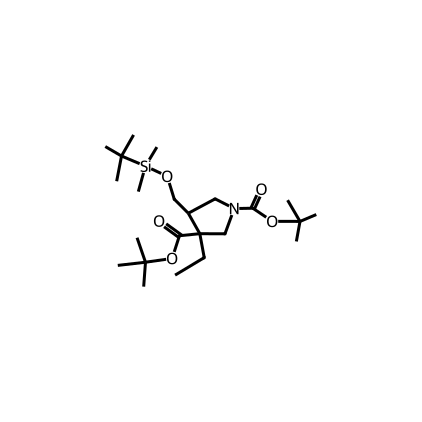 CCC1(C(=O)OC(C)(C)C)CN(C(=O)OC(C)(C)C)CC1CO[Si](C)(C)C(C)(C)C